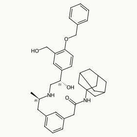 C[C@H](Cc1cccc(CC(=O)NC23CC4CC(CC(C4)C2)C3)c1)NC[C@@H](O)c1ccc(OCc2ccccc2)c(CO)c1